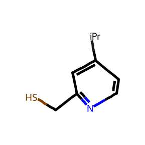 CC(C)c1ccnc(CS)c1